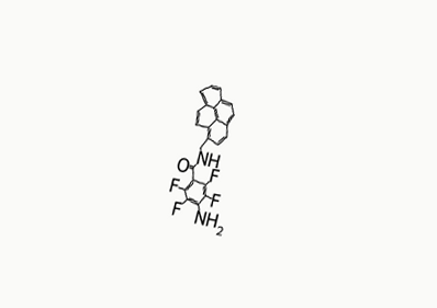 Nc1c(F)c(F)c(C(=O)NCc2ccc3ccc4cccc5ccc2c3c45)c(F)c1F